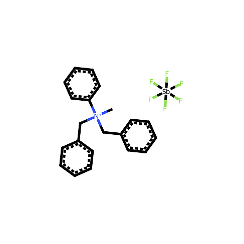 C[N+](Cc1ccccc1)(Cc1ccccc1)c1ccccc1.[F][Sb-]([F])([F])([F])([F])[F]